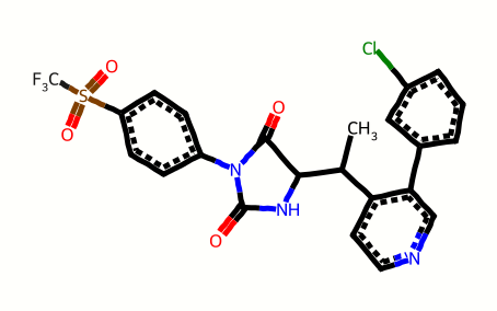 CC(c1ccncc1-c1cccc(Cl)c1)C1NC(=O)N(c2ccc(S(=O)(=O)C(F)(F)F)cc2)C1=O